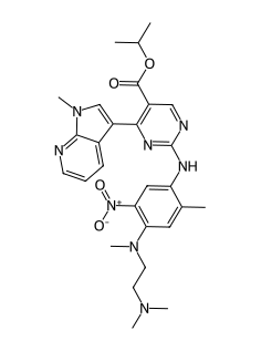 Cc1cc(N(C)CCN(C)C)c([N+](=O)[O-])cc1Nc1ncc(C(=O)OC(C)C)c(-c2cn(C)c3ncccc23)n1